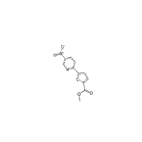 COC(=O)c1ccc(-c2ccc([N+](=O)[O-])cn2)s1